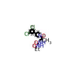 CCC(=O)NC(=O)NC[C@H](C)C(=O)N1CCC(c2cc(Cl)cc(Cl)c2)CC1